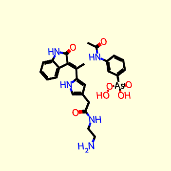 CC(=C1C(=O)Nc2ccccc21)c1cc(CC(=O)NCCN)c[nH]1.CC(=O)Nc1cccc([As](=O)(O)OO)c1